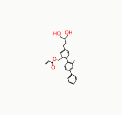 C=CC(=O)OCc1cc(CCC(CO)CO)ccc1-c1ccc(-c2ccccc2)cc1C